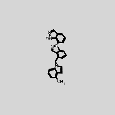 Cc1cccc2c1ccn2Cc1cccc2c1cnn2-c1cccc2cn[nH]c12